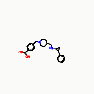 OB(O)c1ccc(CN2CCC(CN[C@@H]3C[C@H]3c3ccccc3)CC2)cc1